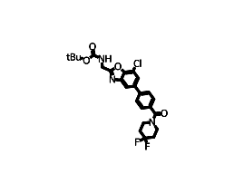 CC(C)(C)OC(=O)NCc1nc2cc(-c3ccc(C(=O)N4CCC(F)(F)CC4)cc3)cc(Cl)c2o1